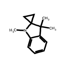 CN1c2ccccc2C(C)(C)C12CC2